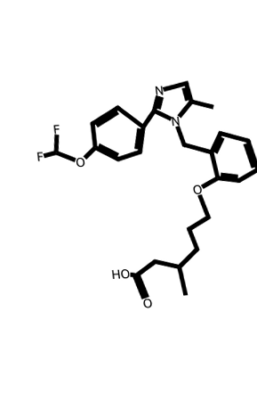 Cc1cnc(-c2ccc(OC(F)F)cc2)n1Cc1ccccc1OCCCC(C)CC(=O)O